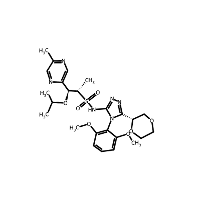 COc1cccc(OC)c1-n1c(NS(=O)(=O)[C@@H](C)[C@@H](OC(C)C)c2cnc(C)cn2)nnc1[C@@H]1COCCO1